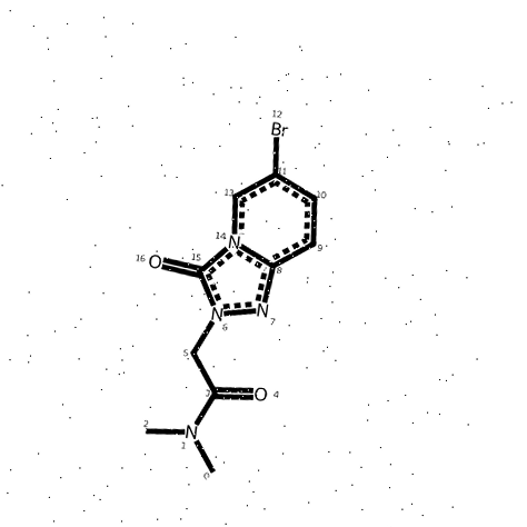 CN(C)C(=O)Cn1nc2ccc(Br)cn2c1=O